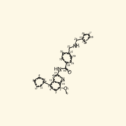 COc1ccc(-c2ccccc2)c2sc(NC(=O)c3ccc(CNCc4cccs4)cc3)nc12